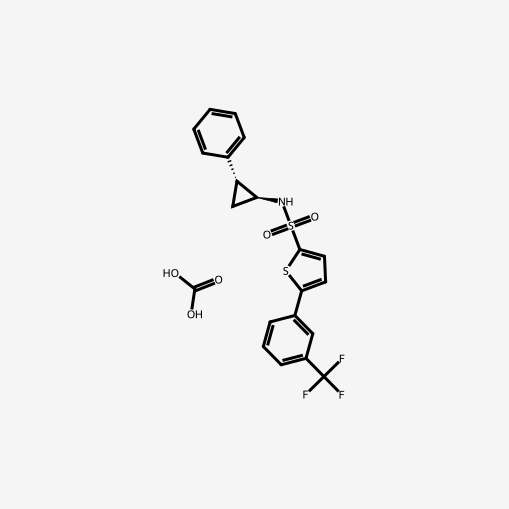 O=C(O)O.O=S(=O)(N[C@H]1C[C@@H]1c1ccccc1)c1ccc(-c2cccc(C(F)(F)F)c2)s1